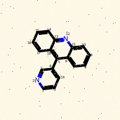 c1cncc(-c2c3ccccc3nc3ccccc23)c1